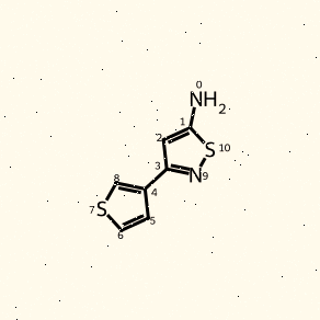 Nc1cc(-c2ccsc2)ns1